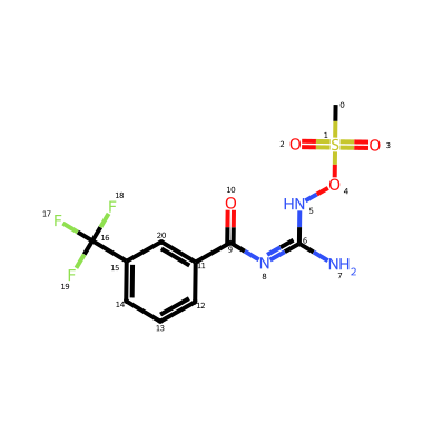 CS(=O)(=O)ONC(N)=NC(=O)c1cccc(C(F)(F)F)c1